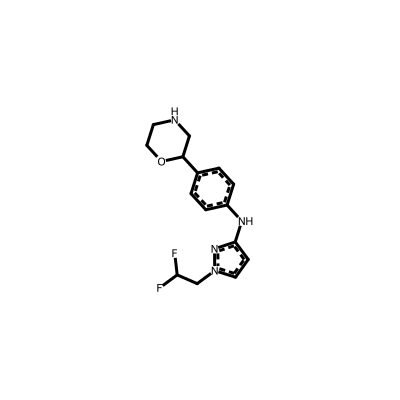 FC(F)Cn1ccc(Nc2ccc(C3CNCCO3)cc2)n1